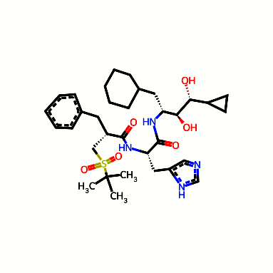 CC(C)(C)S(=O)(=O)C[C@H](Cc1ccccc1)C(=O)N[C@@H](Cc1cnc[nH]1)C(=O)N[C@H](CC1CCCCC1)[C@H](O)[C@H](O)C1CC1